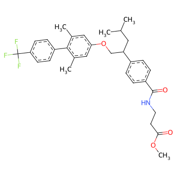 COC(=O)CCNC(=O)c1ccc(C(COc2cc(C)c(-c3ccc(C(F)(F)F)cc3)c(C)c2)CC(C)C)cc1